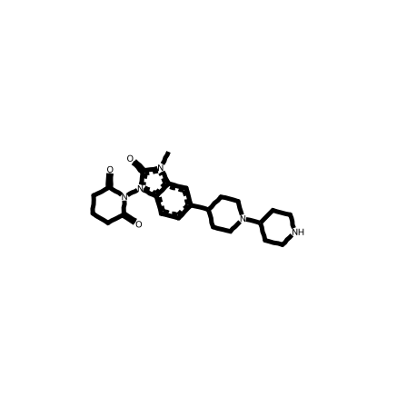 Cn1c(=O)n(N2C(=O)CCCC2=O)c2ccc(C3CCN(C4CCNCC4)CC3)cc21